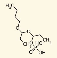 CCCCOC(CC)OC(CC)OP(=O)(O)O